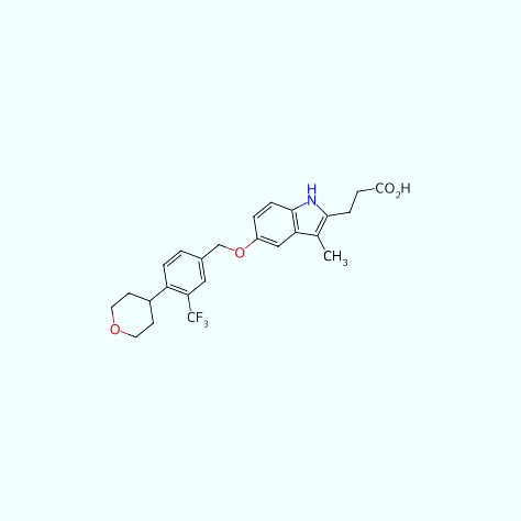 Cc1c(CCC(=O)O)[nH]c2ccc(OCc3ccc(C4CCOCC4)c(C(F)(F)F)c3)cc12